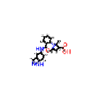 Cc1cc(C(=O)O)c(C)n1-c1ccccc1C(=O)Nc1ccc2[nH]ncc2c1